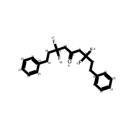 O=C(CC(F)(F)CCc1ccccc1)CC(F)(F)CCc1ccccc1